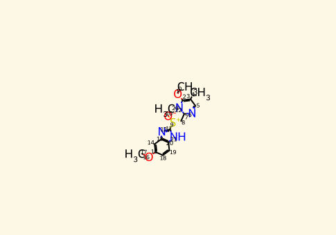 COC1=C(C)C=NC(C[S@+]([O-])c2nc3cc(OC)ccc3[nH]2)N1C